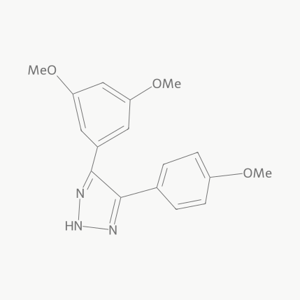 COc1ccc(-c2n[nH]nc2-c2cc(OC)cc(OC)c2)cc1